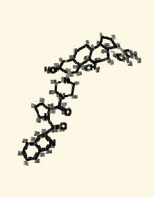 C[C@H]1CCC2C3CCC4C[C@H](O)[C@@H](N5CCN(C(=O)[C@@H]6CCCN6C(=O)c6cc7ccccc7cn6)CC5)C[C@]4(C)C3CC[C@@]21C